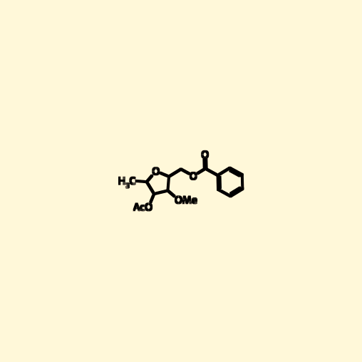 COC1C(COC(=O)c2ccccc2)OC(C)C1OC(C)=O